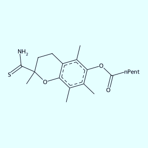 CCCCCC(=O)Oc1c(C)c(C)c2c(c1C)CCC(C)(C(N)=S)O2